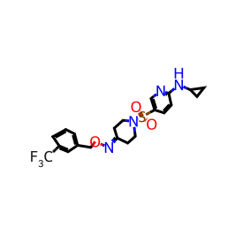 O=S(=O)(c1ccc(NC2CC2)nc1)N1CCC(=NOCc2cccc(C(F)(F)F)c2)CC1